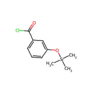 C[Si](C)(C)Oc1cccc(C(=O)Cl)c1